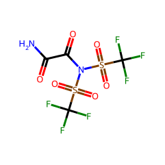 NC(=O)C(=O)N(S(=O)(=O)C(F)(F)F)S(=O)(=O)C(F)(F)F